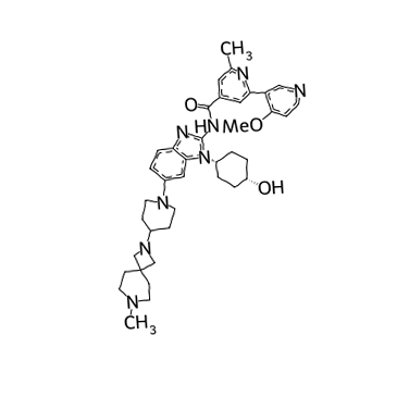 COc1ccncc1-c1cc(C(=O)Nc2nc3ccc(N4CCC(N5CC6(CCN(C)CC6)C5)CC4)cc3n2[C@H]2CC[C@@H](O)CC2)cc(C)n1